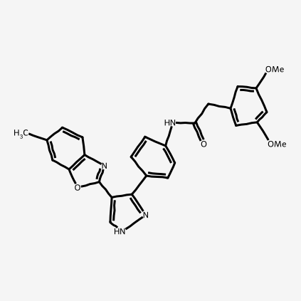 COc1cc(CC(=O)Nc2ccc(-c3n[nH]cc3-c3nc4ccc(C)cc4o3)cc2)cc(OC)c1